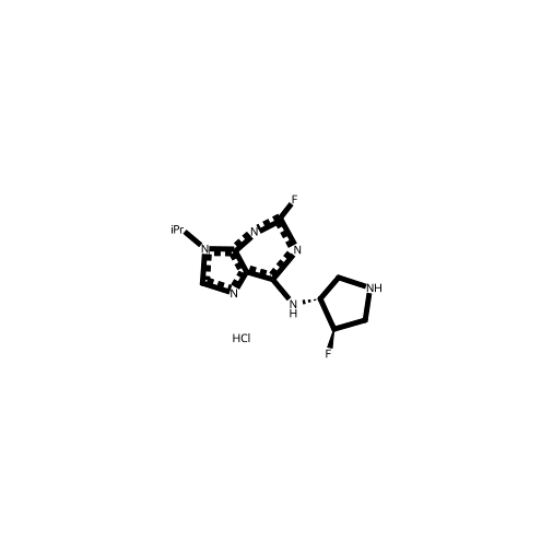 CC(C)n1cnc2c(N[C@@H]3CNC[C@H]3F)nc(F)nc21.Cl